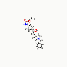 CC(C)(C)OC(=O)Nc1ccc(C(=O)C=C2CCN(Cc3ccccc3)CC2)cc1